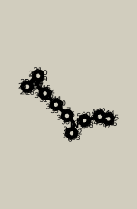 c1ccc(N(c2ccc(-c3ccc(-c4ccc(-n5c6ccccc6c6ccccc65)cc4)cc3)cc2)c2ccc(-c3ccc4ccccc4c3)cc2)cc1